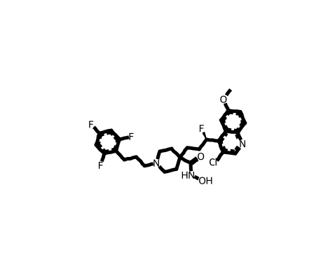 COc1ccc2ncc(Cl)c([C@H](F)CCC3(C(=O)NO)CCN(CCCc4c(F)cc(F)cc4F)CC3)c2c1